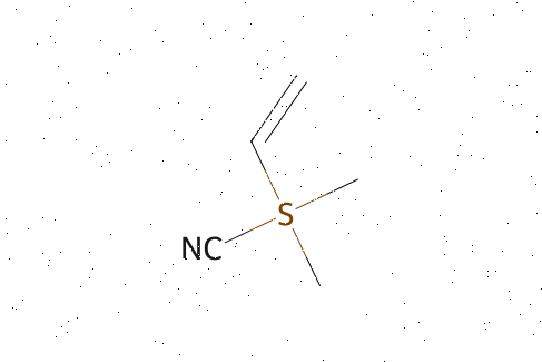 C=CS(C)(C)C#N